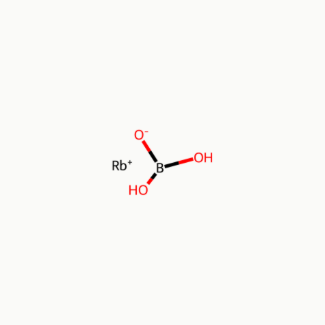 [O-]B(O)O.[Rb+]